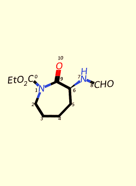 CCOC(=O)N1CCCC[C@H](NC=O)C1=O